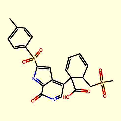 Cc1ccc(S(=O)(=O)C2=CC3=C(C4(C(=O)O)C=CC=CC4CS(C)(=O)=O)C=NC(=O)C3=N2)cc1